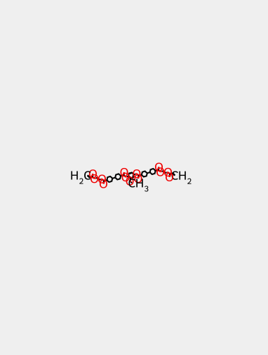 C=CC(=O)OCCOC(=O)C1CCC(C2CCC(C(=O)Oc3ccc(OC(=O)C4CCC(C5CCC(C(=O)OCCOC(=O)C=C)CC5)CC4)c(OC)c3)CC2)CC1